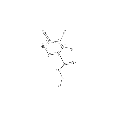 CCOC(=O)c1c[nH]c(=O)c(F)c1C